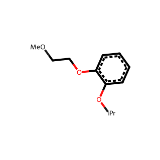 COCCOc1ccccc1OC(C)C